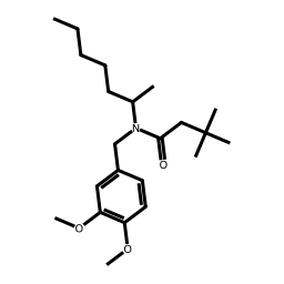 CCCCCC(C)N(Cc1ccc(OC)c(OC)c1)C(=O)CC(C)(C)C